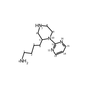 NCCCCC1CNCCN1c1ncccn1